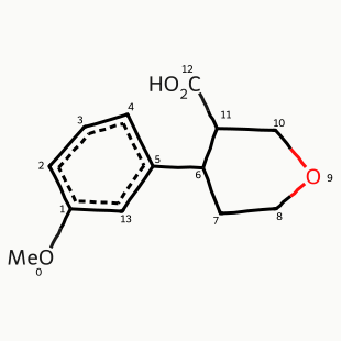 COc1cccc(C2CCOCC2C(=O)O)c1